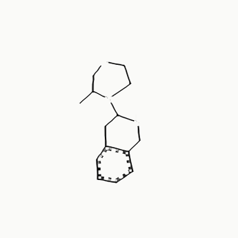 CC1COCCN1C1Cc2ccccc2CN1.Cl